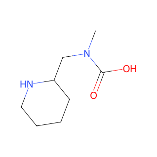 CN(CC1CCCCN1)C(=O)O